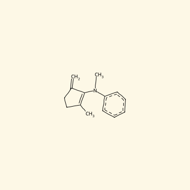 C=C1CCC(C)=C1N(C)c1ccccc1